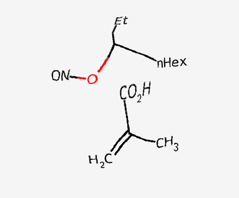 C=C(C)C(=O)O.CCCCCCC(CC)ON=O